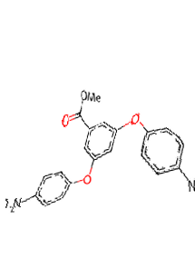 COC(=O)c1cc(Oc2ccc([N+](=O)[O-])cc2)cc(Oc2ccc([N+](=O)[O-])cc2)c1